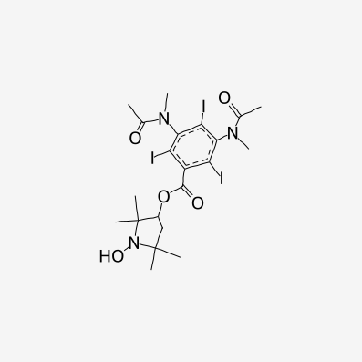 CC(=O)N(C)c1c(I)c(C(=O)OC2CC(C)(C)N(O)C2(C)C)c(I)c(N(C)C(C)=O)c1I